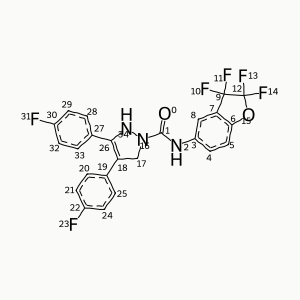 O=C(Nc1ccc2c(c1)C(F)(F)C(F)(F)O2)N1CC(c2ccc(F)cc2)=C(c2ccc(F)cc2)N1